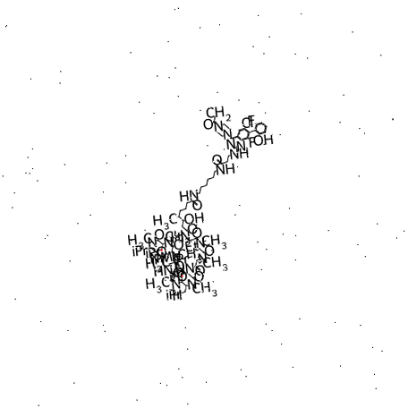 C=CC(=O)N1CCN(c2nc(NCCC(=O)NCCCCCCNC(=O)CCC[C@@H](C)[C@@H](O)CC(=O)N[C@@H](CC)C(=O)N(C)CC(=O)N(C)[C@@H](CC(C)C)C(=O)N[C@H](C(=O)N(C)[C@@H](CC(C)C)C(=O)N[C@@H](C)C(=O)N[C@H](C)C(=O)N(C)[C@@H](CC(C)C)C(=O)N(C)[C@@H](CC(C)C)C(=O)N(C)[C@H](C(=O)NC)C(C)C)C(C)C)nc3c(F)c(-c4c(O)cccc4F)c(Cl)cc23)CC1